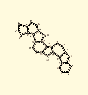 c1ccc2c(c1)sc1ccc3c(sc4ccc5c(sc6ccc7ccsc7c65)c43)c12